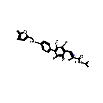 C/C(=C\c1c(F)c(F)c(-c2ccc(NCc3ccc(C)o3)cc2)c(F)c1F)C(=O)NC(C)C